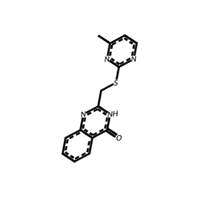 Cc1ccnc(SCc2nc3ccccc3c(=O)[nH]2)n1